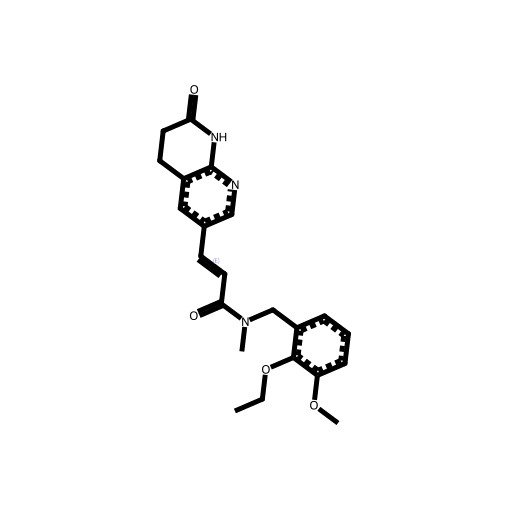 CCOc1c(CN(C)C(=O)/C=C/c2cnc3c(c2)CCC(=O)N3)cccc1OC